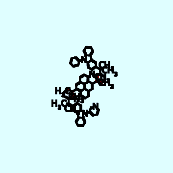 CC(C)c1cc2ccc(N3c4ccccc4C(C)(C)c4cc5c6ccccc6n(-c6cccnc6)c5cc43)c3c(C(C)C)cc4ccc(N5c6ccccc6C(C)(C)c6cc7c8ccccc8n(-c8ccccc8)c7cc65)c1c4c23